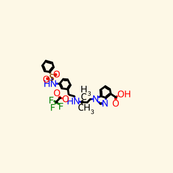 CC(C)(CCn1cnc2c(C(=O)O)cccc21)NCC(OC(=O)C(F)(F)F)c1cccc(NS(=O)(=O)c2ccccc2)c1